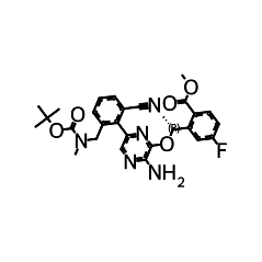 COC(=O)c1ccc(F)cc1[C@@H](C)Oc1nc(-c2c(C#N)cccc2CN(C)C(=O)OC(C)(C)C)cnc1N